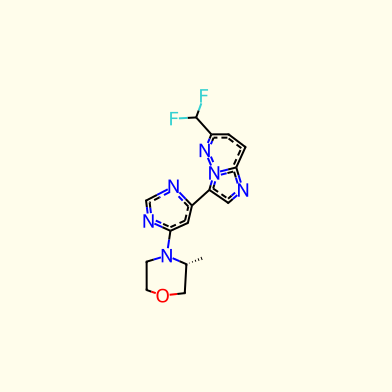 C[C@@H]1COCCN1c1cc(-c2cnc3ccc(C(F)F)nn23)ncn1